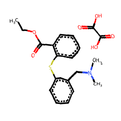 CCOC(=O)c1ccccc1Sc1ccccc1CN(C)C.O=C(O)C(=O)O